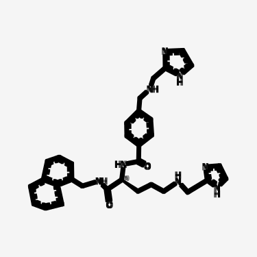 O=C(N[C@@H](CCCNCc1ncc[nH]1)C(=O)NCc1cccc2ccccc12)c1ccc(CNCc2ncc[nH]2)cc1